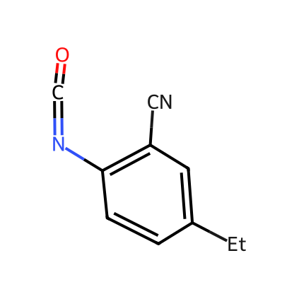 CCc1ccc(N=C=O)c(C#N)c1